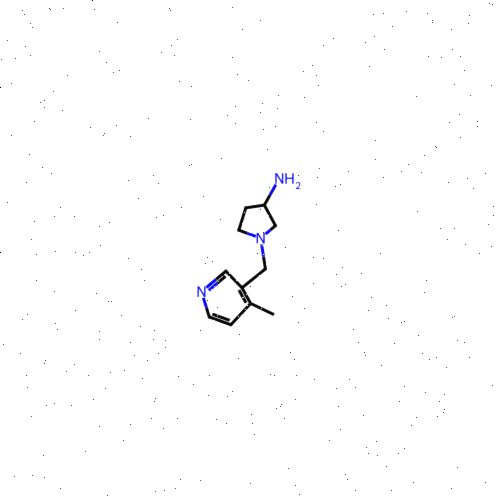 Cc1ccncc1CN1CCC(N)C1